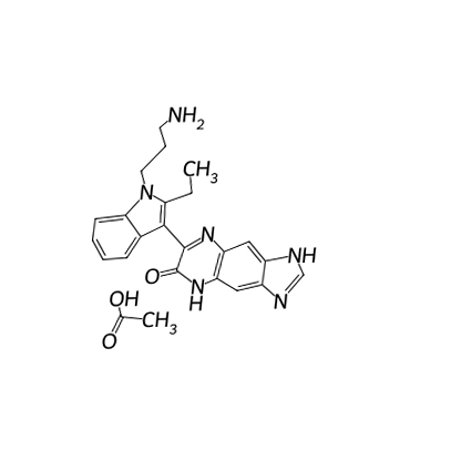 CC(=O)O.CCc1c(-c2nc3cc4[nH]cnc4cc3[nH]c2=O)c2ccccc2n1CCCN